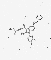 COC(=O)C#CC(=O)c1c(C(C)C)n(-c2ccc(F)c(C)c2)c2ccc(OCc3ccccc3)cc12